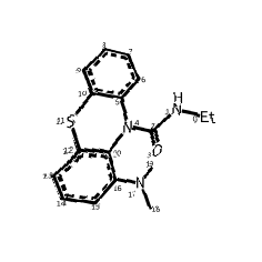 CCNC(=O)N1c2ccccc2Sc2cccc(N(C)C)c21